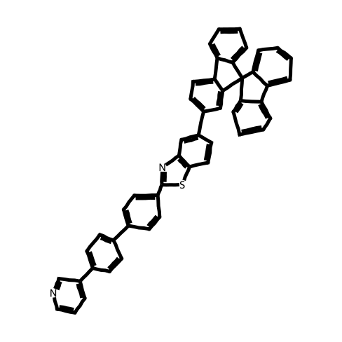 c1cncc(-c2ccc(-c3ccc(-c4nc5cc(-c6ccc7c(c6)C6(c8ccccc8-c8ccccc86)c6ccccc6-7)ccc5s4)cc3)cc2)c1